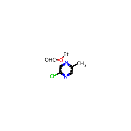 CCOC=O.Cc1cnc(Cl)cn1